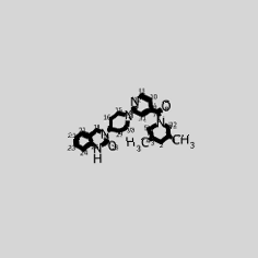 CC1CC(C)CN(C(=O)c2ccnc(N3CCC(N4Cc5ccccc5NC4=O)CC3)c2)C1